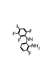 Nc1c(F)cccc1Nc1c(F)cc(I)c(F)c1F